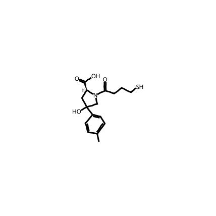 Cc1ccc(C2(O)C[C@@H](C(=O)O)N(C(=O)CCCS)C2)cc1